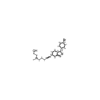 CN(CCO)CCCC#Cc1ccc2c(-c3ccc(Br)cc3)nsc2c1